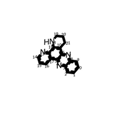 c1ccc2nc3c(nc2c1)c1c(c2ncccc23)NCCC1